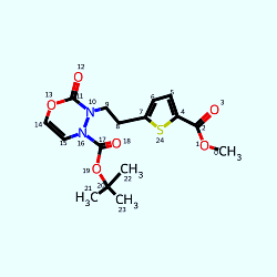 COC(=O)c1ccc(CCN2C(=O)OC=CN2C(=O)OC(C)(C)C)s1